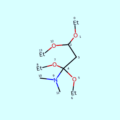 CCO[C](CC(OCC)(OCC)N(C)C)OCC